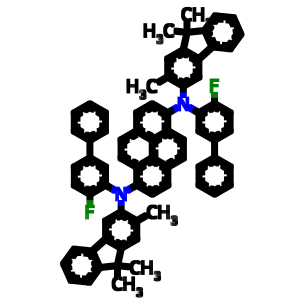 Cc1cc2c(cc1N(c1cc(-c3ccccc3)ccc1F)c1ccc3ccc4c(N(c5cc6c(cc5C)C(C)(C)c5ccccc5-6)c5cc(-c6ccccc6)ccc5F)ccc5ccc1c3c54)-c1ccccc1C2(C)C